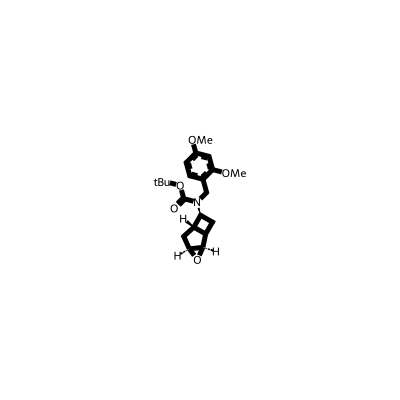 COc1ccc(CN(C(=O)OC(C)(C)C)[C@@H]2CC3[C@H]4O[C@H]4C[C@@H]32)c(OC)c1